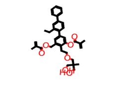 C=C(C)C(=O)OCc1cc(-c2ccc(-c3ccccc3)cc2CC)cc(OC(=O)C(=C)C)c1CCOCC(C)(CO)CO